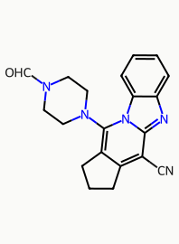 N#Cc1c2c(c(N3CCN(C=O)CC3)n3c1nc1ccccc13)CCC2